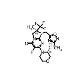 Cc1noc(CN2c3nc(N4CCOC[C@H]4C)c(F)c(=O)n3C[C@@]2(C)C(F)(F)F)n1